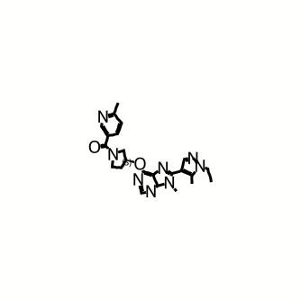 CCn1ncc(-c2nc3c(O[C@H]4CCN(C(=O)c5ccc(C)nc5)C4)ncnc3n2C)c1C